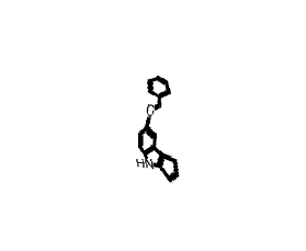 c1ccc(COc2ccc3[nH]c4c(c3c2)CCC4)cc1